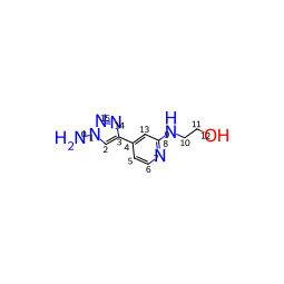 Nn1cc(-c2ccnc(NCCO)c2)nn1